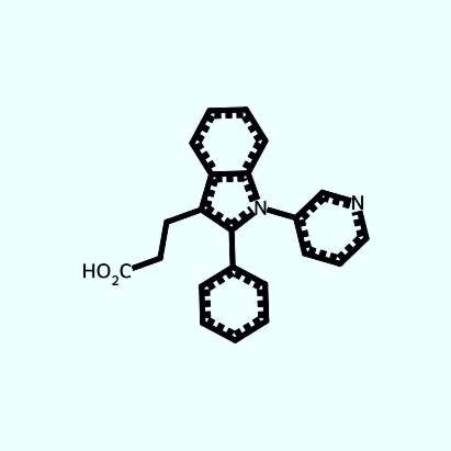 O=C(O)CCc1c(-c2ccccc2)n(-c2cccnc2)c2ccccc12